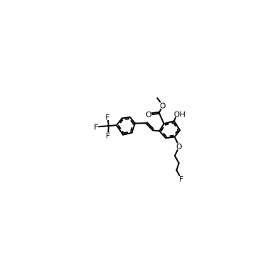 COC(=O)c1c(O)cc(OCCCF)cc1C=Cc1ccc(C(F)(F)F)cc1